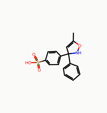 CC1=CC(c2ccccc2)(c2ccc(S(=O)(=O)O)cc2)NO1